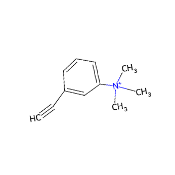 C#Cc1cccc([N+](C)(C)C)c1